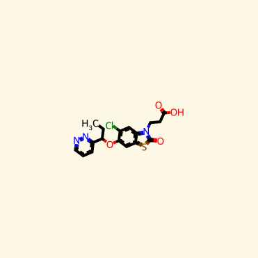 CCC(Oc1cc2sc(=O)n(CCC(=O)O)c2cc1Cl)c1cccnn1